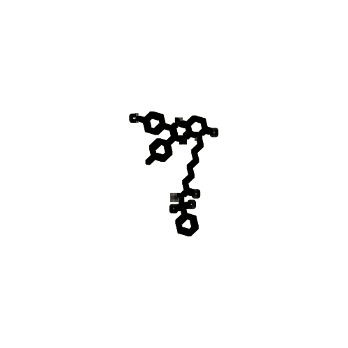 Cc1ccc(-c2nc3c(nc2-c2ccc(Cl)cc2)CCC(=O)N3CCCCCCC(=O)NS(=O)(=O)c2ccccc2)cc1